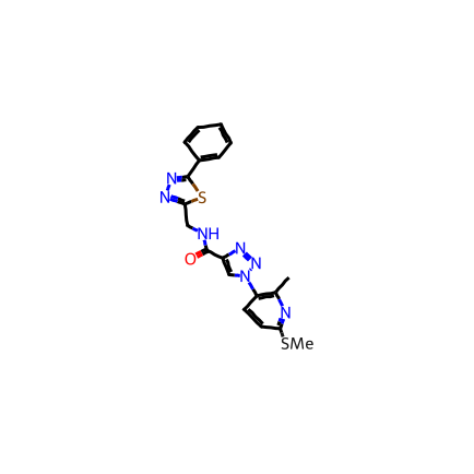 CSc1ccc(-n2cc(C(=O)NCc3nnc(-c4ccccc4)s3)nn2)c(C)n1